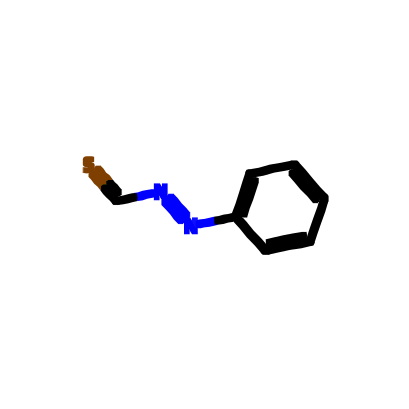 S=CN=Nc1ccccc1